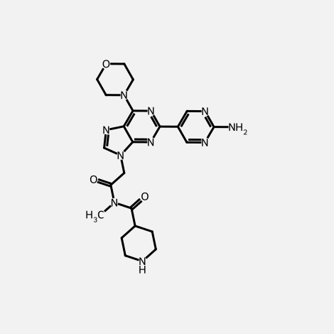 CN(C(=O)Cn1cnc2c(N3CCOCC3)nc(-c3cnc(N)nc3)nc21)C(=O)C1CCNCC1